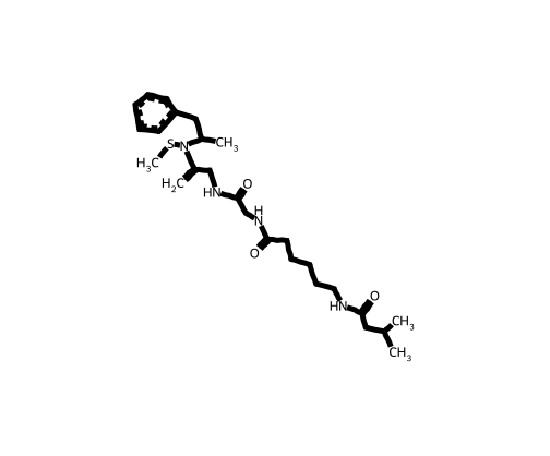 C=C(CNC(=O)CNC(=O)CCCCCNC(=O)CC(C)C)N(SC)C(C)Cc1ccccc1